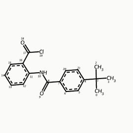 CC(C)(C)c1ccc(C(=O)Nc2ccccc2C(=O)Cl)cc1